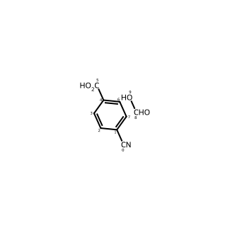 N#Cc1ccc(C(=O)O)cc1.O=CO